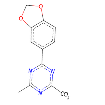 Cc1nc(-c2ccc3c(c2)OCO3)nc(C(Cl)(Cl)Cl)n1